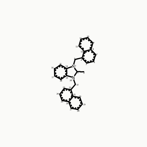 CC1N(Cc2cccc3ccccc23)c2ccccc2N1Cc1cccc2ccccc12